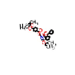 CCC(CC)OCCN(CCOC(=O)C1CCC(C(=O)OC(C)(CC)CC)CC1)C(=O)c1ccccc1C(=O)c1ccccc1